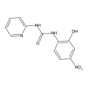 O=C(Nc1ccccn1)Nc1ccc([N+](=O)[O-])cc1O